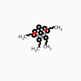 CCCCc1ccc(N2c3ccc(CCCC)cc3B3c4cc(CCCC)ccc4N(c4ccc(CCCC)cc4)c4cc(-c5c(-c6ccccc6)cccc5-c5ccccc5)cc2c43)cc1